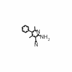 Cc1nc(N)c(C#N)c(C)c1-c1ccccc1